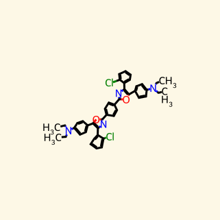 CCN(CC)c1ccc(-c2oc(-c3ccc(-c4nc(-c5ccccc5Cl)c(-c5ccc(N(CC)CC)cc5)o4)cc3)nc2-c2ccccc2Cl)cc1